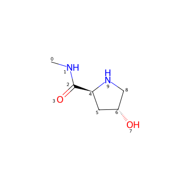 CNC(=O)[C@@H]1C[C@@H](O)CN1